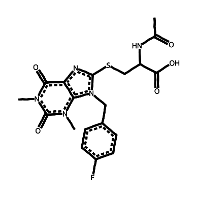 CC(=O)NC(CSc1nc2c(=O)n(C)c(=O)n(C)c2n1Cc1ccc(F)cc1)C(=O)O